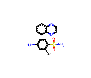 CC(=O)c1cc(N)ccc1S(N)(=O)=O.c1ccc2nccnc2c1